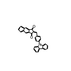 O=C1C(=Cc2ccc(-n3c4ccccc4c4ccccc43)cc2)C(=O)c2cc3ccccc3cc21